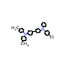 CCc1ccc(N(c2ccccc2)c2ccc(-c3ccc(N(c4ccc(C)cc4)c4ccc(C)cc4)cc3)cc2)cc1